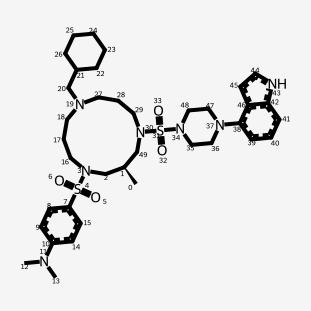 C[C@H]1CN(S(=O)(=O)c2ccc(N(C)C)cc2)CCCN(CC2CCCCC2)CCCN(S(=O)(=O)N2CCN(c3cccc4[nH]ccc34)CC2)C1